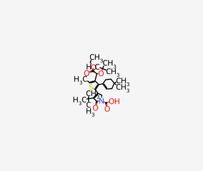 CCOC(=O)C(OC(C)(C)C)c1c(C)sc(C2=C(C(C)(C)C)C(=O)N(C(=O)O)C2)c1C1=CCC(C)(C)CC1